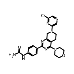 NC(=O)Nc1ccc(-c2nc3c(c(N4CCOCC4)n2)CCN(c2cncc(Cl)n2)C3)cc1